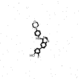 Oc1ccc(-c2ccc3ncnc(Nc4ccc(N5CCOCC5)cc4)c3c2)cc1F